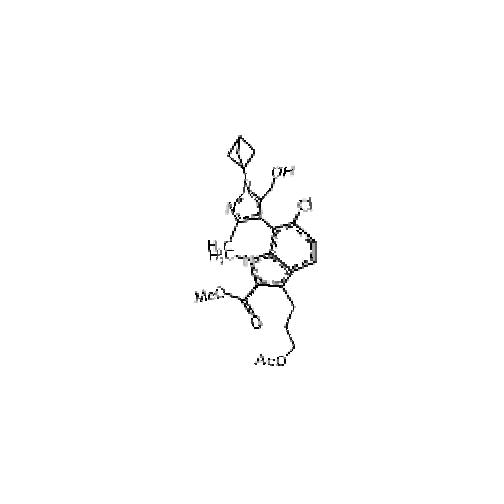 COC(=O)c1c(CCCOC(C)=O)c2ccc(Cl)c(-c3c(C)nn(C45CC(C4)C5)c3CO)c2n1C